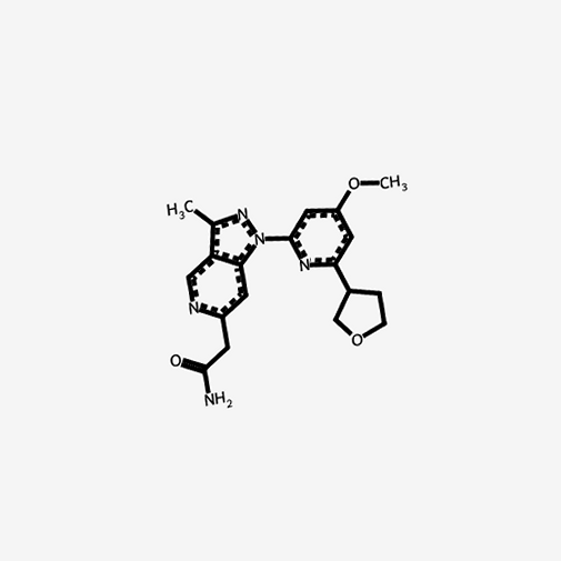 COc1cc(C2CCOC2)nc(-n2nc(C)c3cnc(CC(N)=O)cc32)c1